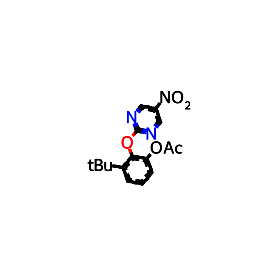 CC(=O)Oc1cccc(C(C)(C)C)c1Oc1ncc([N+](=O)[O-])cn1